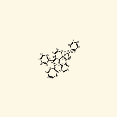 C1#CCC(c2cccc(-c3coc(-c4ccccc4)n3)c2-c2oc(-c3ccccc3)c3c2CCC=C3)=CC=C1